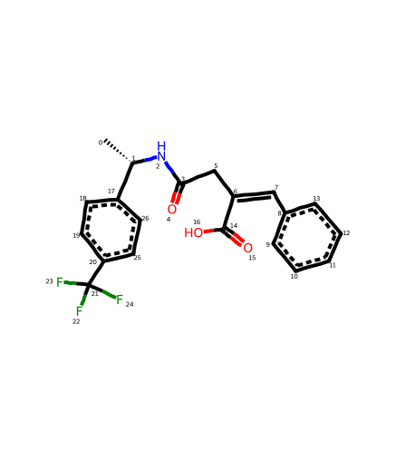 C[C@H](NC(=O)C/C(=C/c1ccccc1)C(=O)O)c1ccc(C(F)(F)F)cc1